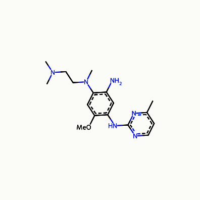 COc1cc(N(C)CCN(C)C)c(N)cc1Nc1nccc(C)n1